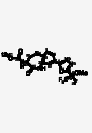 COC(F)(c1nnc(-c2ccc3c(c2)NC(=O)[C@@H](NC(=O)OC(C)(C)C)CS3)o1)C(F)(F)F